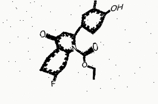 CCOC(=O)n1c(-c2ccc(O)c(F)c2)cc(=O)c2ccc(F)cc21